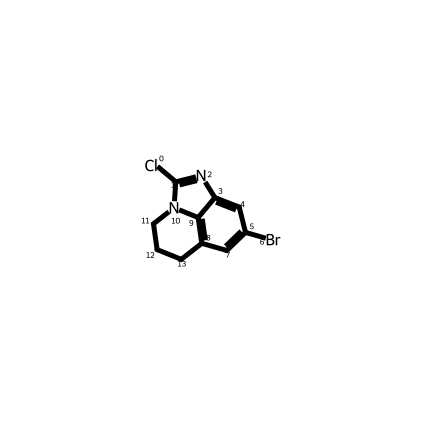 Clc1nc2cc(Br)cc3c2n1CCC3